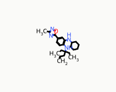 C=CCC(CC)(CC)Nc1ccc(-c2nc(C)no2)cc1NC1CCCCC1